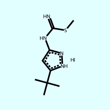 CSC(=N)Nc1cc(C(C)(C)C)[nH]n1.I